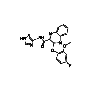 COc1cc(F)ccc1Oc1nc2ccccc2nc1C(=O)Nc1nc[nH]n1